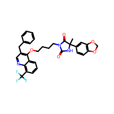 CC1(c2ccc3c(c2)OCO3)NC(=O)N(CCCCOc2c(Cc3ccccc3)cnc3c(C(F)(F)F)cccc23)C1=O